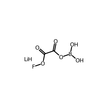 O=C(OF)C(=O)OB(O)O.[LiH]